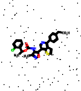 Cc1noc(-c2cnc(-c3ccc(CC(=O)O)cc3)c3ccsc23)c1NC(=O)OC(C)c1ccccc1Cl